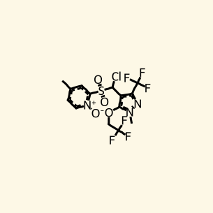 Cc1cc[n+]([O-])c(S(=O)(=O)C(Cl)c2c(C(F)(F)F)nn(C)c2OCC(F)(F)F)c1